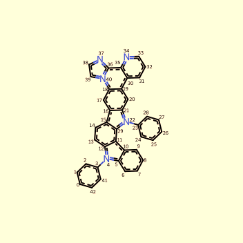 c1ccc(-n2c3ccccc3c3c2ccc2c4cc5c(cc4n(-c4ccccc4)c23)c2cccnc2c2nccn52)cc1